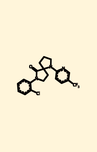 O=C1N(c2ccccc2Cl)CCC12CCCN2c1ccc(C(F)(F)F)cn1